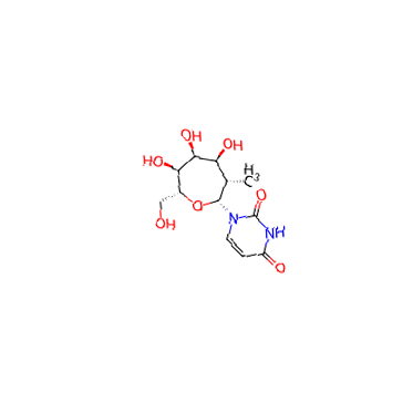 C[C@H]1[C@H](O)[C@H](O)[C@H](O)[C@@H](CO)O[C@H]1n1ccc(=O)[nH]c1=O